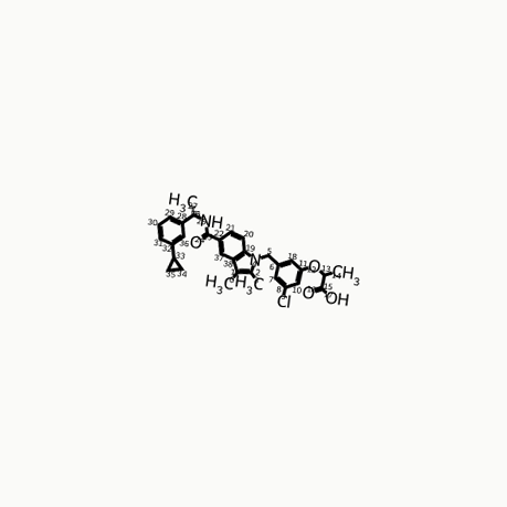 Cc1c(C)n(Cc2cc(Cl)cc(OC(C)C(=O)O)c2)c2ccc(C(=O)N[C@@H](C)c3cccc(C4CC4)c3)cc12